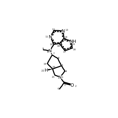 CC(=O)N1CC2C[C@@H](N(C)c3ncnc4[nH]ccc34)C[C@H]2C1